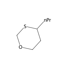 CCCC1CCOCS1